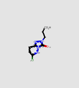 O=C(O)CCn1nc2ccc(Cl)nn2c1=O